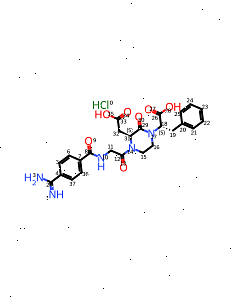 Cl.N=C(N)c1ccc(C(=O)NCC(=O)N2CCN([C@@H](Cc3ccccc3)C(=O)O)C(=O)[C@@H]2CC(=O)O)cc1